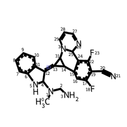 CN(CN)C1Nc2ccccc2/C1=C1/C2c3cc(F)c(C#N)c(F)c3C3N=CC=CN3C12